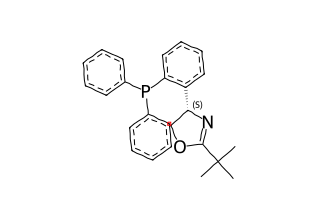 CC(C)(C)C1=N[C@@H](c2ccccc2P(c2ccccc2)c2ccccc2)CO1